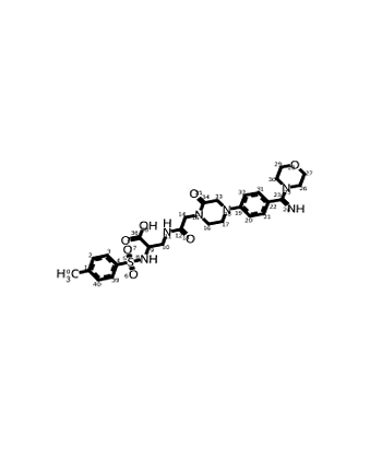 Cc1ccc(S(=O)(=O)NC(CNC(=O)CN2CCN(c3ccc(C(=N)N4CCOCC4)cc3)CC2=O)C(=O)O)cc1